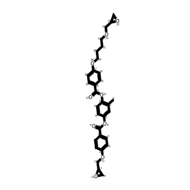 Cc1cc(OC(=O)c2ccc(OCC3CO3)cc2)ccc1OC(=O)c1ccc(OCCCCOCC2CO2)cc1